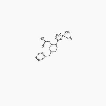 CC(C)(C)OC(=O)N1CCN(Cc2ccccc2)CC1CC(=O)O